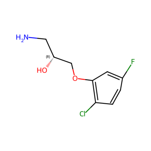 NC[C@@H](O)COc1cc(F)ccc1Cl